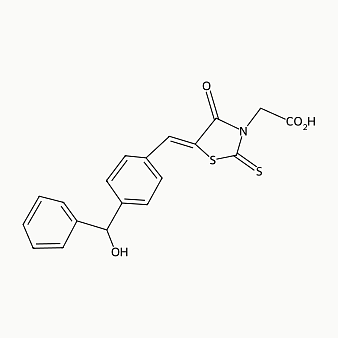 O=C(O)CN1C(=O)C(=Cc2ccc(C(O)c3ccccc3)cc2)SC1=S